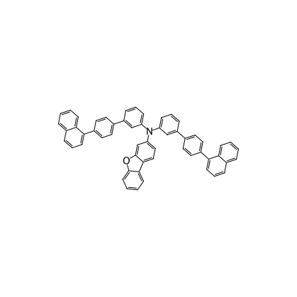 c1cc(-c2ccc(-c3cccc4ccccc34)cc2)cc(N(c2cccc(-c3ccc(-c4cccc5ccccc45)cc3)c2)c2ccc3c(c2)oc2ccccc23)c1